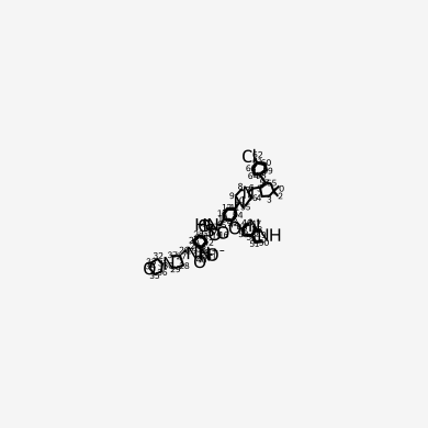 CC1(C)CCC(CN2CCN(c3ccc(C(=O)NS(=O)(=O)c4ccc(NC[C@H]5CCN(C6CCOCC6)C5)c([N+](=O)[O-])c4)c(Oc4cnc5[nH]ccc5c4)c3)CC2)=C(c2ccc(Cl)cc2)C1